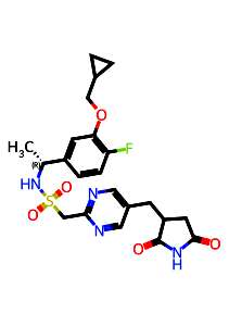 C[C@@H](NS(=O)(=O)Cc1ncc(CC2CC(=O)NC2=O)cn1)c1ccc(F)c(OCC2CC2)c1